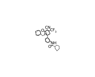 N#Cc1c(C(F)(F)F)cc(-c2cccc(NC(=O)C3CCCCC3)c2)n(Cc2ccccc2)c1=O